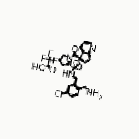 NCc1ccc(Cl)cc1CNC(=O)[C@@H]1CCCN1C(=O)C1(O)CCc2ncccc21.O=C(O)C(F)(F)F